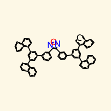 c1cc(-c2cc(-c3cccc4ccccc34)cc(-c3cccc4ccccc34)c2)cc(-c2nonc2-c2cccc(-c3cc(-c4cccc5ccccc45)cc(-c4cccc5ccccc45)c3)c2)c1